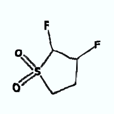 O=S1(=O)CCC(F)C1F